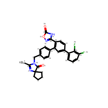 CCCCC1=NC2(CCCC2)C(=O)N1Cc1ccc(-c2cc(-c3cccc(F)c3F)ccc2-c2noc(=O)[nH]2)cc1